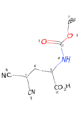 CC(C)(C)OC(=O)NC(CC(C#N)C#N)C(=O)O